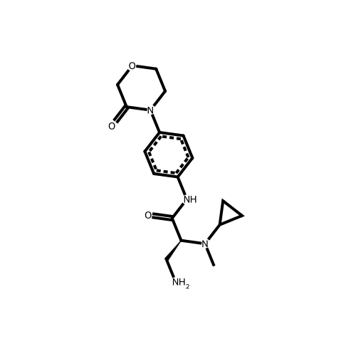 CN(C1CC1)[C@@H](CN)C(=O)Nc1ccc(N2CCOCC2=O)cc1